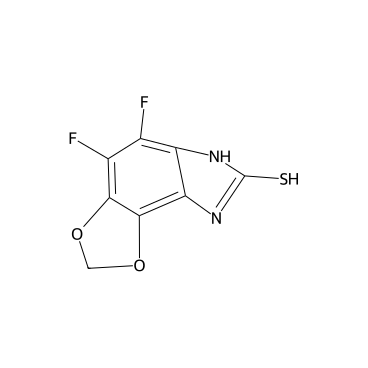 Fc1c2c(c3nc(S)[nH]c3c1F)OCO2